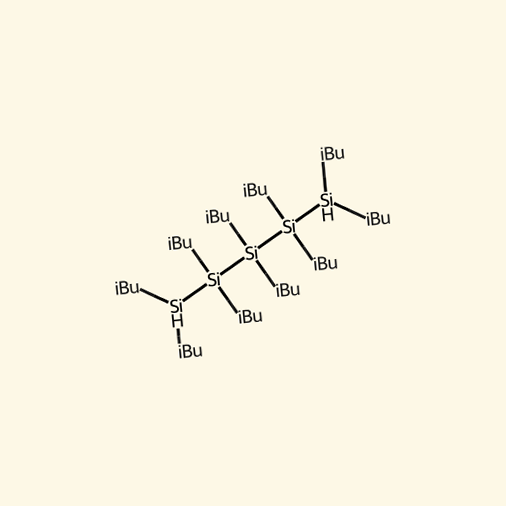 CCC(C)[SiH](C(C)CC)[Si](C(C)CC)(C(C)CC)[Si](C(C)CC)(C(C)CC)[Si](C(C)CC)(C(C)CC)[SiH](C(C)CC)C(C)CC